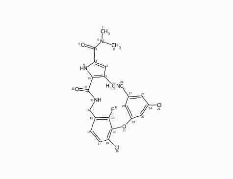 Cc1cc(C(=O)N(C)C)[nH]c1C(=O)NCc1ccc(Cl)c(Oc2cc(Cl)cc(C#N)c2)c1F